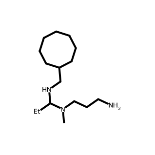 CCC(NCC1CCCCCCC1)N(C)CCCN